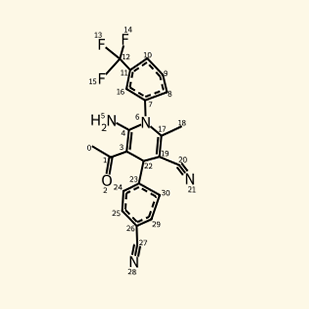 CC(=O)C1=C(N)N(c2cccc(C(F)(F)F)c2)C(C)=C(C#N)C1c1ccc(C#N)cc1